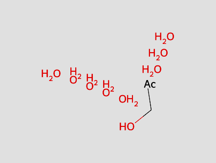 CC(=O)CO.O.O.O.O.O.O.O.O